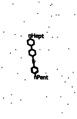 CCCCCCCC1CCC(C2CCC(C#Cc3ccc(CCCCC)cc3)CC2)CC1